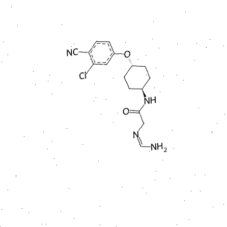 N#Cc1ccc(O[C@H]2CC[C@H](NC(=O)C/N=C\N)CC2)cc1Cl